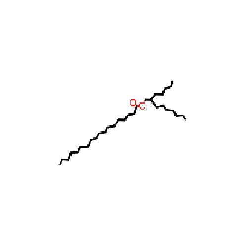 CCCCCCCCCCCCCCCCCC(=O)OCC(CCCCC)CCCCCCC